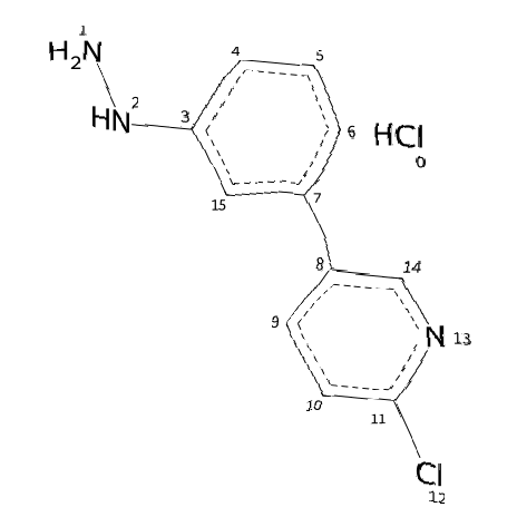 Cl.NNc1cccc(-c2ccc(Cl)nc2)c1